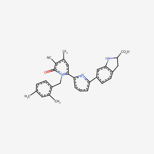 Cc1ccc(Cn2c(-c3cccc(-c4ccc5c(c4)NC(C(=O)O)C5)n3)cc(C(F)(F)F)c(C#N)c2=O)c(C)c1